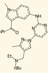 CCCCN(CC)Cc1cn(-c2ccnc(Nc3ccc4c(c3)c(C(=O)C(C)C)cn4C)n2)nc1C